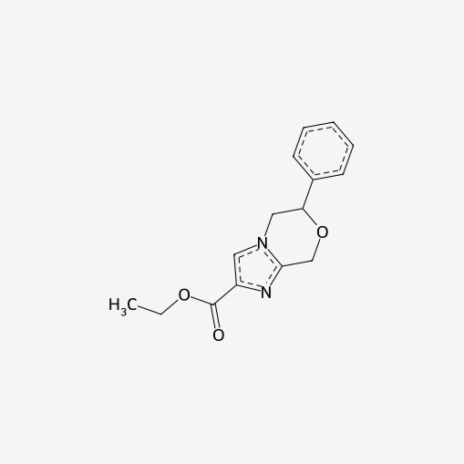 CCOC(=O)c1cn2c(n1)COC(c1ccccc1)C2